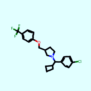 FC(F)(F)c1ccc(OCC2CCN(C(c3ccc(Cl)cc3)C3CCC3)C2)cc1